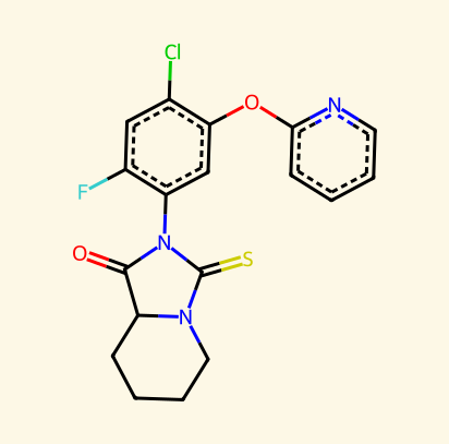 O=C1C2CCCCN2C(=S)N1c1cc(Oc2ccccn2)c(Cl)cc1F